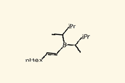 CCCCCCC=CB(C(C)C(C)C)C(C)C(C)C